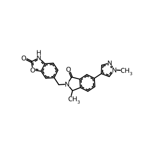 CC1c2ccc(-c3cnn(C)c3)cc2C(=O)N1Cc1ccc2[nH]c(=O)oc2c1